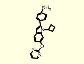 Nc1ccc(-c2cc3ccc(Oc4ncccn4)cc3n2C2CCC2)cc1